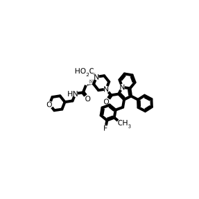 Cc1c(F)cccc1Cc1c(-c2ccccc2)c2ccccn2c1C(=O)N1CCN(C(=O)O)[C@@H](CC(=O)NCC2CCOCC2)C1